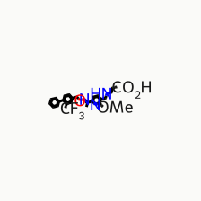 COc1nc(/C(C)=N/OCc2ccc(-c3ccccc3)c(C(F)(F)F)c2)ccc1CNCCC(=O)O